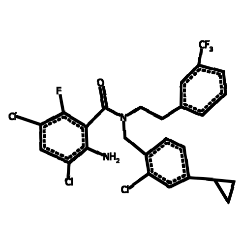 Nc1c(Cl)cc(Cl)c(F)c1C(=O)N(CCc1cccc(C(F)(F)F)c1)Cc1ccc(C2CC2)cc1Cl